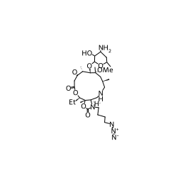 CC[C@H]1OC(=O)CC(=O)[C@H](C)[C@@H](OC2OC(C)CC(N)C2O)[C@](C)(OC)C[C@@H](C)CN[C@H](C)[C@H]2N(CCCCN=[N+]=[N-])C(=O)O[C@]12C